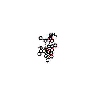 Cc1cccc(-c2cc(-c3ccccc3)cc(F)c2N(c2cc3c(c4ccccc24)-c2c(ccc4ccccc24)C3(C(C)(C)C)C2(C(C)(C)C)c3ccc4ccccc4c3-c3c2cc(N(c2c(F)cc(-c4ccccc4)cc2-c2ccccc2)c2cccc4c2oc2ccccc24)c2ccccc32)c2cccc3c2oc2ccccc23)c1